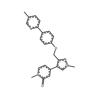 Cc1ccc(-c2ccc(OCc3nn(C)cc3-c3ccn(C)c(=O)c3)cc2)nc1